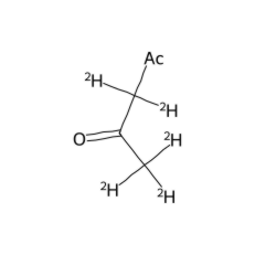 [2H]C([2H])([2H])C(=O)C([2H])([2H])C(C)=O